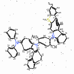 N#Cc1cc(-n2c3ccc(N(c4ccccc4)c4ccccc4)cc3c3c4ccccc4ccc32)c(C#N)cc1-n1c2ccccc2c2cc3c(cc21)sc1ccccc13